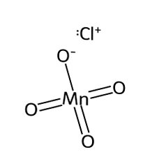 [Cl+].[O]=[Mn](=[O])(=[O])[O-]